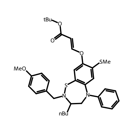 CCCCC1CN(c2ccccc2)c2cc(SC)c(O/C=C/C(=O)OC(C)(C)C)cc2SN1Cc1ccc(OC)cc1